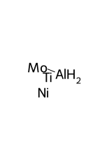 [AlH2][Mo].[Ni].[Ti]